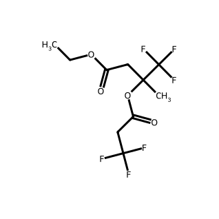 CCOC(=O)CC(C)(OC(=O)CC(F)(F)F)C(F)(F)F